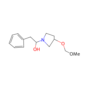 COCOC1CCN(C(O)Cc2ccccc2)C1